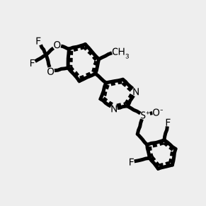 Cc1cc2c(cc1-c1cnc([S+]([O-])Cc3c(F)cccc3F)nc1)OC(F)(F)O2